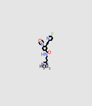 C/C=C(\C=N/C)CCCNC(=O)c1ccc(N2CCOCC2)c(C#Cc2ccc(F)cn2)c1